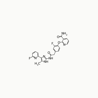 Cc1[nH]c(NC(=O)Cc2ccc(Oc3ncccc3C(N)=O)c(F)c2)nc1-c1cccc(F)n1